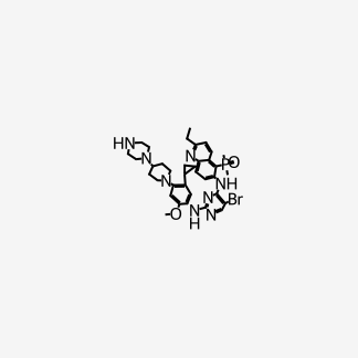 CCc1ccc2c(P(C)(C)=O)c(Nc3nc(Nc4cc(C5CC5)c(N5CCC(N6CCNCC6)CC5)cc4OC)ncc3Br)ccc2n1